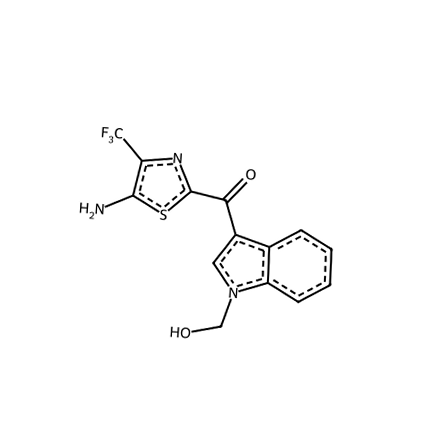 Nc1sc(C(=O)c2cn(CO)c3ccccc23)nc1C(F)(F)F